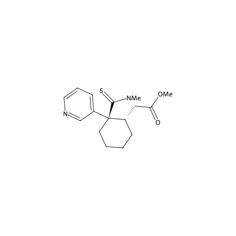 CNC(=S)[C@]1(c2cccnc2)CCCC[C@H]1CC(=O)OC